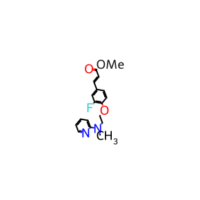 COC(=O)C=Cc1ccc(OCCN(C)c2ccccn2)c(F)c1